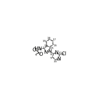 CS(=O)(=O)Nc1nn(-c2ccnc(Cl)n2)c2ccccc12